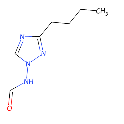 CCCCc1ncn(NC=O)n1